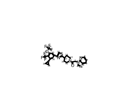 O=C(Cn1cnc2cccnc21)N1CCC(c2nc(-c3cc(OC(F)(F)F)c(C(F)(F)F)c(C4CC4)c3)cs2)CC1